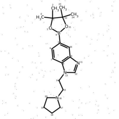 CC1(C)OB(c2ccc3c(c2)ncn3CCN2CCCC2)OC1(C)C